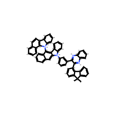 CC1(C)c2ccccc2-c2c(-c3nc4ccccc4nc3-c3cccc(-n4c5ccccc5c5c(-n6c7ccccc7c7ccc8ccccc8c76)c6ccccc6cc54)c3)cccc21